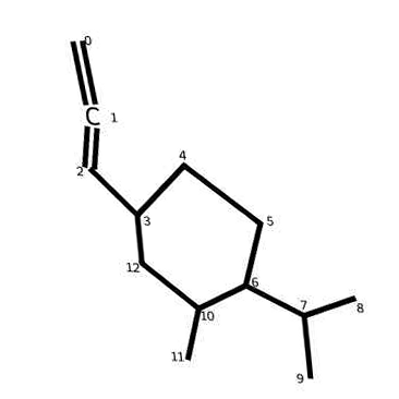 C=C=CC1CCC(C(C)C)C(C)C1